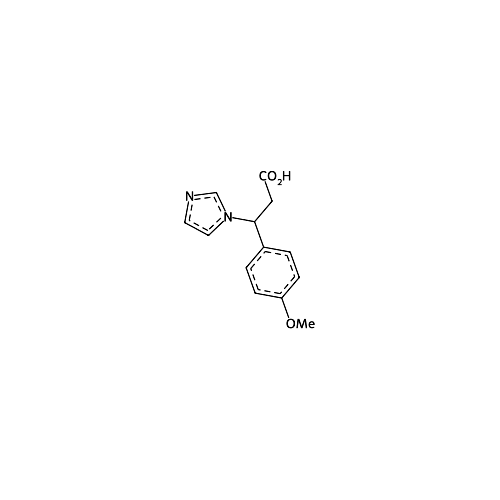 COc1ccc(C(CC(=O)O)n2ccnc2)cc1